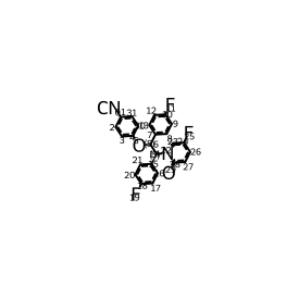 [C-]#[N+]c1ccc(O[C@@H](c2ccc(F)cc2)[C@H](c2ccc(F)cc2)n2cc(F)ccc2=O)cc1